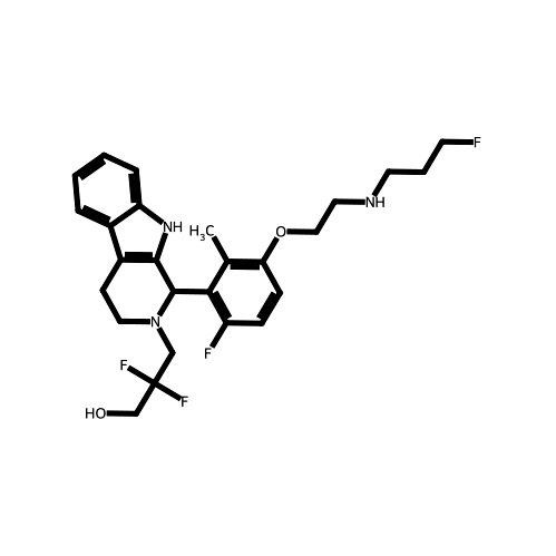 Cc1c(OCCNCCCF)ccc(F)c1C1c2[nH]c3ccccc3c2CCN1CC(F)(F)CO